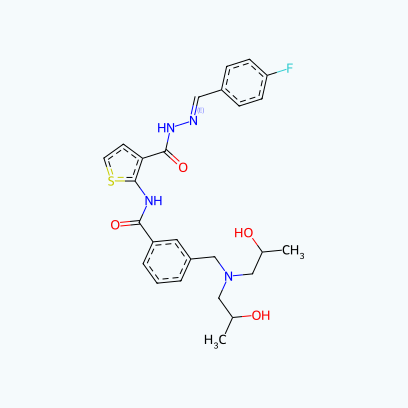 CC(O)CN(Cc1cccc(C(=O)Nc2sccc2C(=O)N/N=C/c2ccc(F)cc2)c1)CC(C)O